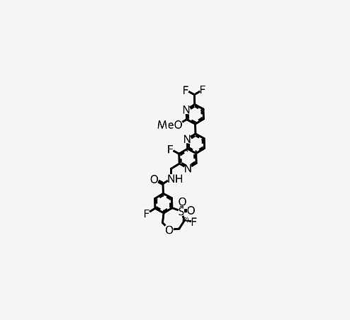 COc1nc(C(F)F)ccc1-c1ccc2cnc(CNC(=O)c3cc(F)c4c(c3)S(=O)(=O)[C@@H](F)COC4)c(F)c2n1